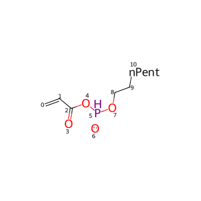 C=CC(=O)O[PH](=O)OCCCCCCC